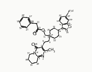 Cc1nc2n(c(=O)c1CC[N+]1(COC(=O)Cc3ccccc3)CCC(c3noc4cc(F)ccc34)CC1)CCCC2